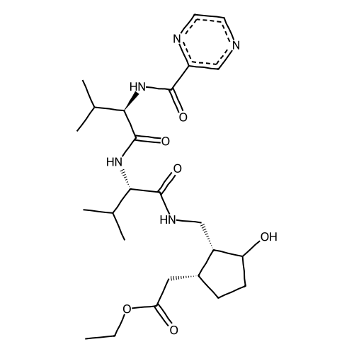 CCOC(=O)C[C@H]1CCC(O)[C@H]1CNC(=O)[C@@H](NC(=O)[C@H](NC(=O)c1cnccn1)C(C)C)C(C)C